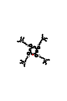 CCCC[N+](CCCC)(CCCC)CCCCCCOc1cccc(-c2c3nc(c(-c4cccc(OCCCCCC[N+](CCCC)(CCCC)CCCC)c4)c4ccc([nH]4)c(-c4cccc(OCCCCCC[N+](CCCC)(CCCC)CCCC)c4)c4nc(c(-c5cccc(OCCCCCC[N+](CCCC)(CCCC)CCCC)c5)c5ccc2[nH]5)C=C4)C=C3)c1